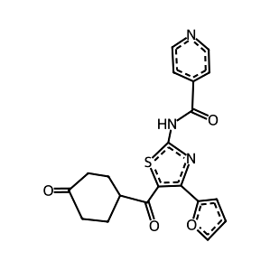 O=C1CCC(C(=O)c2sc(NC(=O)c3ccncc3)nc2-c2ccco2)CC1